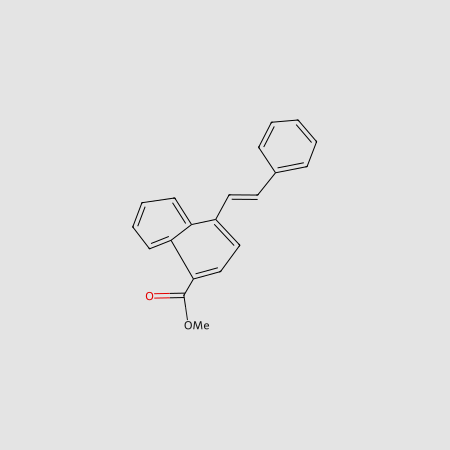 COC(=O)c1ccc(C=Cc2ccccc2)c2ccccc12